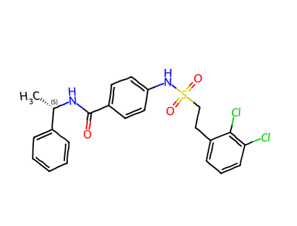 C[C@H](NC(=O)c1ccc(NS(=O)(=O)CCc2cccc(Cl)c2Cl)cc1)c1ccccc1